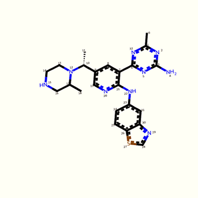 Cc1nc(N)nc(-c2cc([C@@H](C)N3CCNCC3C)cnc2Nc2ccc3scnc3c2)n1